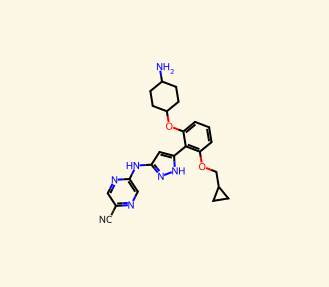 N#Cc1cnc(Nc2cc(-c3c(OCC4CC4)cccc3OC3CCC(N)CC3)[nH]n2)cn1